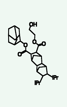 CC(C)C1C2CC(C1C(C)C)C1C3CC(C(C(=O)OCCO)C3C(=O)OC3C4CC5CC(C4)CC3C5)C21